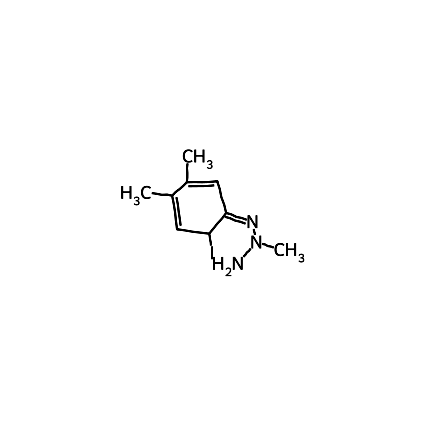 CC1=C/C(=N/N(C)N)C(I)C=C1C